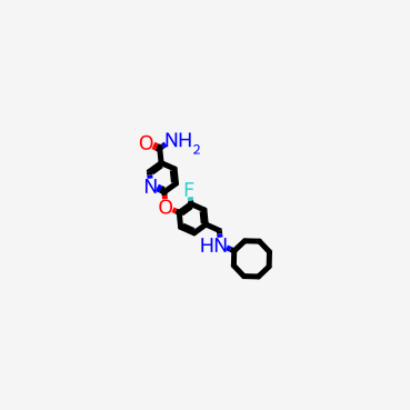 NC(=O)c1ccc(Oc2ccc(CNC3CCCCCCC3)cc2F)nc1